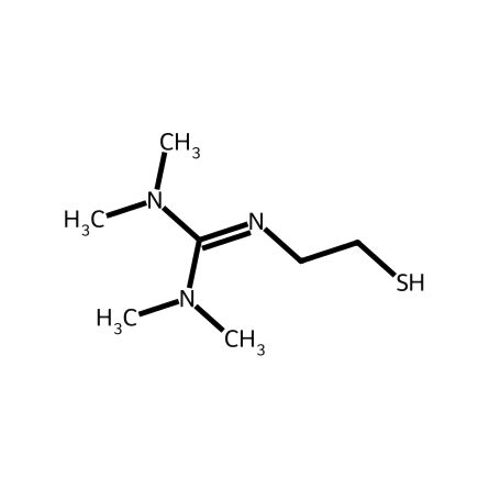 CN(C)C(=NCCS)N(C)C